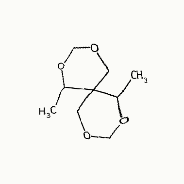 CC1OCOCC12COCOC2C